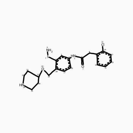 NSc1cc(NC(=O)Cc2ccccc2Cl)ccc1COC1CCNCC1